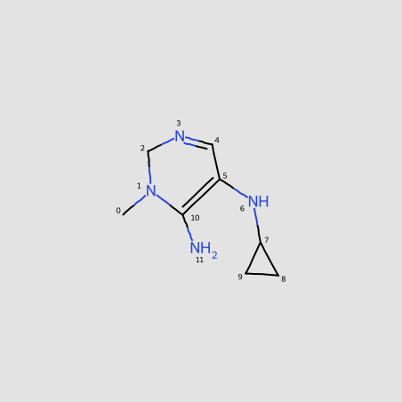 CN1CN=CC(NC2CC2)=C1N